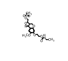 CCNC(=O)OCCOc1cc2c(cc1OC)C1=NOC(COS(C)(=O)=O)C1CO2